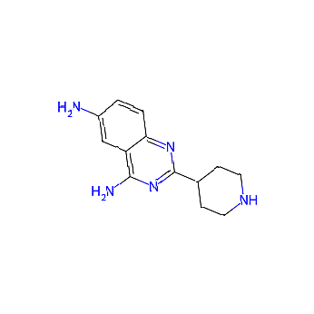 Nc1ccc2nc(C3CCNCC3)nc(N)c2c1